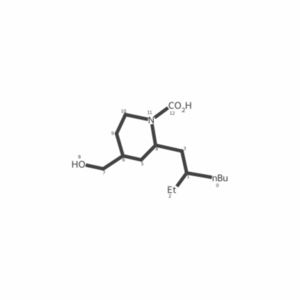 CCCCC(CC)CC1CC(CO)CCN1C(=O)O